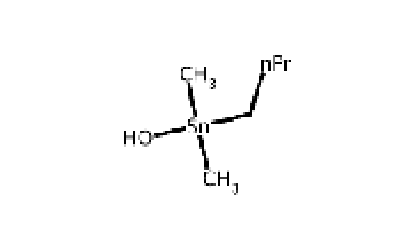 CCC[CH2][Sn]([CH3])([CH3])[OH]